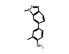 Cc1cc(-c2ccc3cnn(C)c3c2)ccc1N